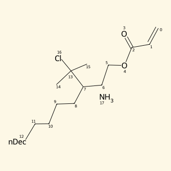 C=CC(=O)OCCC(CCCCCCCCCCCCCC)C(C)(C)Cl.N